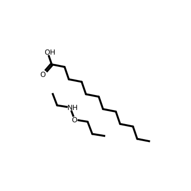 CCCCCCCCCCCC(=O)O.CCCONCC